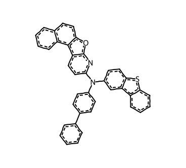 c1ccc(-c2ccc(N(c3ccc4sc5ccccc5c4c3)c3ccc4c(n3)oc3ccc5ccccc5c34)cc2)cc1